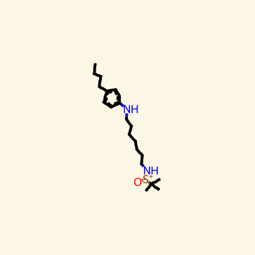 CCCCc1ccc(NCCCCCCCN[S+]([O-])C(C)(C)C)cc1